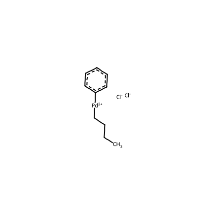 CCC[CH2][Pd+2][c]1ccccc1.[Cl-].[Cl-]